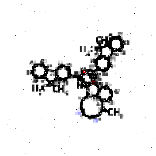 C=C1/C=C\C=C/CN(c2nc(-c3ccc4c(c3)C(C)(C)c3ccccc3-4)nc(-c3ccc4c(c3)C(C)(C)c3ccccc3-4)n2)c2c1cccc2-c1ccccc1